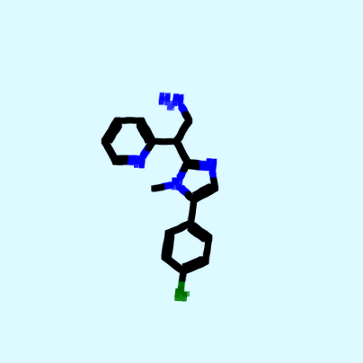 Cn1c(-c2ccc(Br)cc2)cnc1C(CN)c1ccccn1